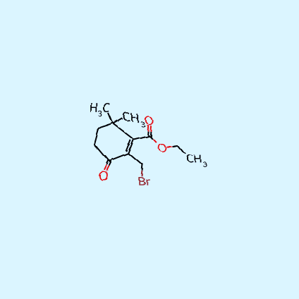 CCOC(=O)C1=C(CBr)C(=O)CCC1(C)C